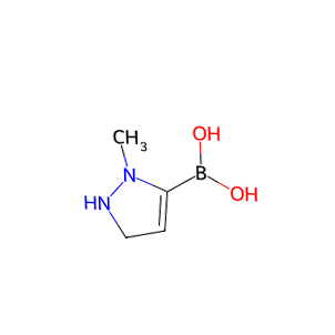 CN1NCC=C1B(O)O